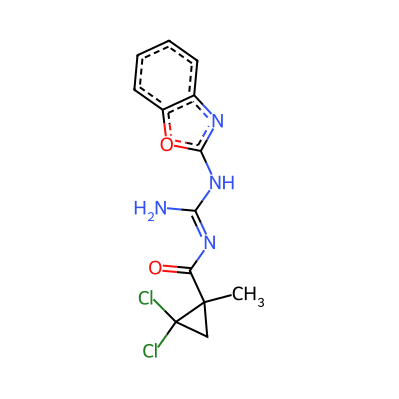 CC1(C(=O)/N=C(\N)Nc2nc3ccccc3o2)CC1(Cl)Cl